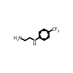 NCCNc1ccc(C(F)(F)F)cc1